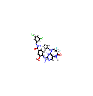 COc1cc(C(=O)NCc2cc(Cl)cc(Cl)c2)ccc1Nc1ncc2c(n1)N(C1CCCC1)CC(F)(F)C(=O)N2C